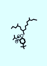 CCCC(C)CCCCC(CCC(C)CCC)COc1ccc(C(C)(C)C)cc1S(=O)(=O)C(C)C